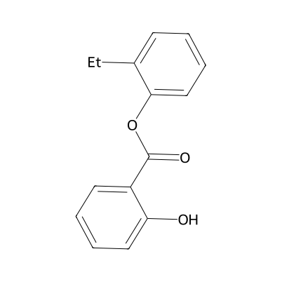 CCc1ccccc1OC(=O)c1ccccc1O